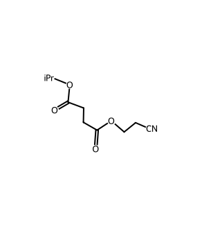 CC(C)OC(=O)CCC(=O)OCCC#N